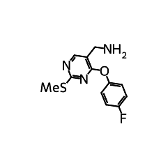 CSc1ncc(CN)c(Oc2ccc(F)cc2)n1